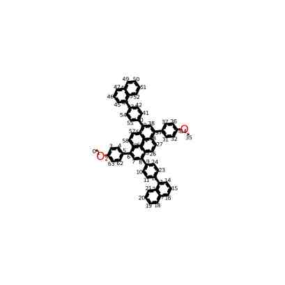 COc1ccc(-c2cc(-c3ccc(-c4cccc5ccccc45)cc3)c3ccc4c(-c5ccc(OC)cc5)cc(-c5ccc(-c6cccc7ccccc67)cc5)c5ccc2c3c45)cc1